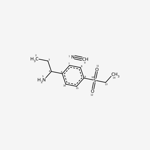 C#N.CCC(N)c1ccc(S(=O)(=O)CC)cc1